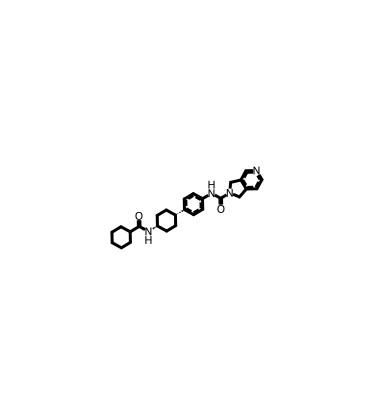 O=C(N[C@H]1CC[C@@H](c2ccc(NC(=O)N3Cc4ccncc4C3)cc2)CC1)C1CCCCC1